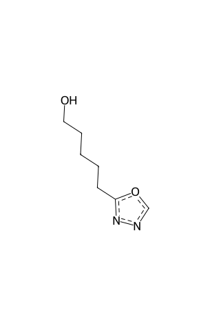 OCCCCCc1nnco1